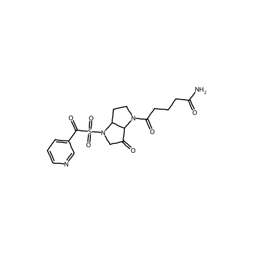 NC(=O)CC[CH]C(=O)N1CCC2C1C(=O)CN2S(=O)(=O)C(=O)c1cccnc1